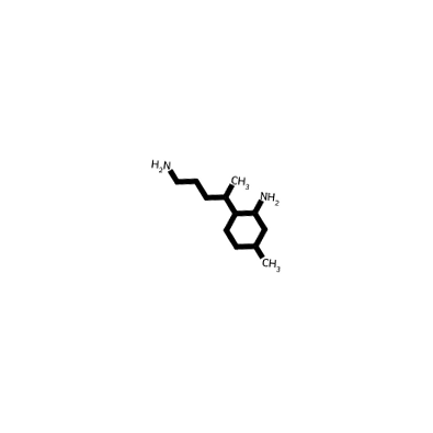 CC1CCC(C(C)CCCN)C(N)C1